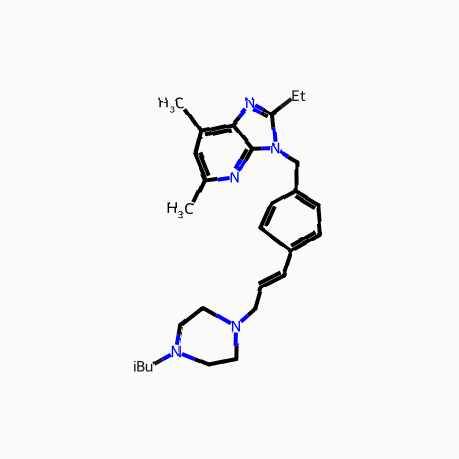 CCc1nc2c(C)cc(C)nc2n1Cc1ccc(C=CCN2CCN(C(C)CC)CC2)cc1